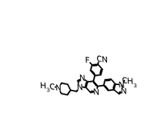 CN1CCC(Cn2cnc3c(-c4ccc(C#N)c(F)c4)c(-c4ccc5c(cnn5C)c4)ncc32)CC1